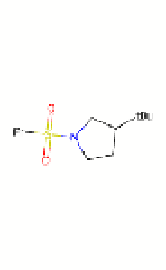 CC(C)S(=O)(=O)N1CCC(C(C)(C)C)C1